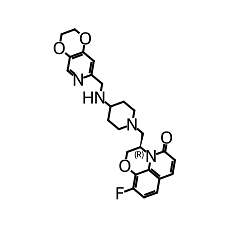 O=c1ccc2ccc(F)c3c2n1[C@H](CN1CCC(NCc2cc4c(cn2)OCCO4)CC1)CO3